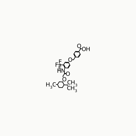 CC1CCC(C(C)C)C(OCC(=O)Nc2ccc(OCc3ccc(C(=O)O)cc3)cc2C(F)(F)F)C1